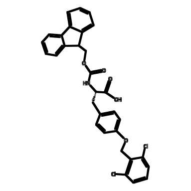 O=C(N[C@@H](Cc1ccc(OCc2c(Cl)cccc2Cl)cc1)C(=O)O)OCC1c2ccccc2-c2ccccc21